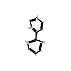 [c]1nccc(-c2ncccn2)n1